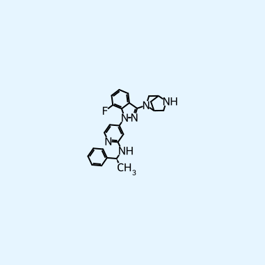 C[C@H](Nc1cc(-n2nc(N3CC4CC3CN4)c3cccc(F)c32)ccn1)c1ccccc1